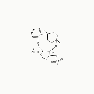 CS(=O)(=O)N[C@H]1CCCC2[C@H]1CO[C@H]1CC[C@H](CC1)c1ccccc1O[C@@H]2CO